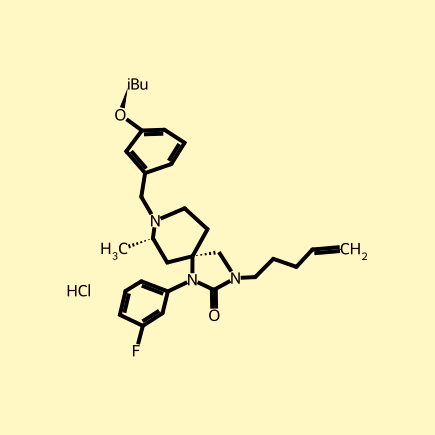 C=CCCCN1C[C@]2(CCN(Cc3cccc(O[C@H](C)CC)c3)[C@@H](C)C2)N(c2cccc(F)c2)C1=O.Cl